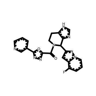 O=C(c1nnc(-c2cccnc2)o1)N1CCc2[nH]cnc2C1c1cc2c(F)cccn2n1